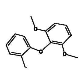 [CH2]c1ccccc1Oc1c(OC)cccc1OC